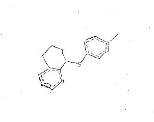 Cc1ccc(SC2CCCc3cccnc32)cc1